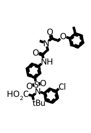 Cc1ccccc1OCC(=O)N(C)CC(=O)Nc1cccc(S(=O)(=O)N(c2cccc(Cl)c2)C(C(=O)O)C(C)(C)C)c1